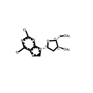 CC(=O)OC[C@H]1O[C@@H](n2cnc3c(Cl)nc(Cl)nc32)C[C@@H]1OC(C)=O